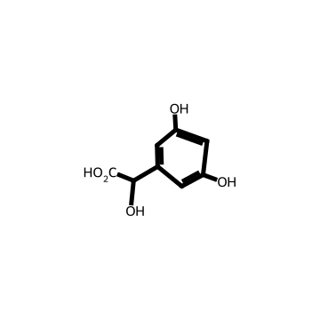 O=C(O)C(O)c1cc(O)cc(O)c1